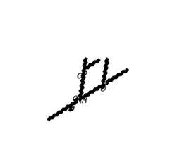 CCCCCCCCCCC(CCC(=O)NC(CCCCCCCCC(=O)OCC(CCCC)CCCCCC)CCCCCCCCC(=O)N(CCCCCCCCCC)CCCCCCCCCC)N(C)C